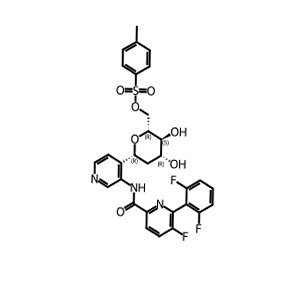 Cc1ccc(S(=O)(=O)OC[C@H]2O[C@@H](c3ccncc3NC(=O)c3ccc(F)c(-c4c(F)cccc4F)n3)C[C@@H](O)[C@@H]2O)cc1